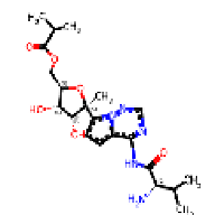 CC(C)C(=O)OC[C@H]1O[C@@](C)(c2ccc3c(NC(=O)[C@@H](N)C(C)C)ncnn23)[C@H](O)[C@@H]1O